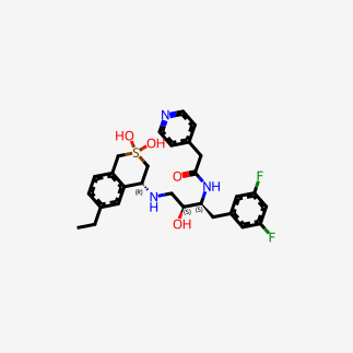 CCc1ccc2c(c1)[C@@H](NC[C@H](O)[C@H](Cc1cc(F)cc(F)c1)NC(=O)Cc1ccncc1)CS(O)(O)C2